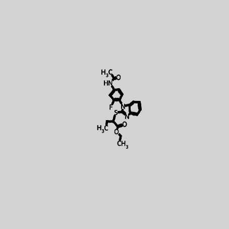 CCOC(=O)C(CC)Sc1nc2ccccc2n1-c1ccc(NC(C)=O)cc1F